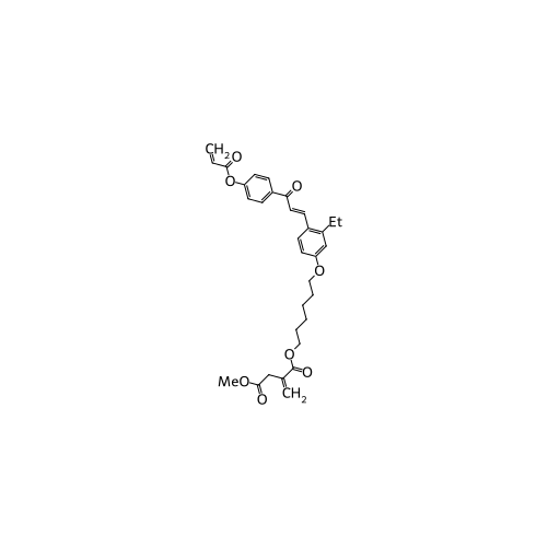 C=CC(=O)Oc1ccc(C(=O)/C=C/c2ccc(OCCCCCCOC(=O)C(=C)CC(=O)OC)cc2CC)cc1